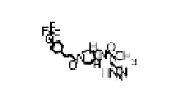 CN(Cc1cnn[nH]1)C(=O)N1C[C@H]2CCN(C(=O)CCc3ccc(OC(F)(F)F)cc3)CC[C@H]2C1